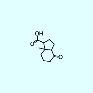 CC12CCCC(=O)C1CCC2C(=O)O